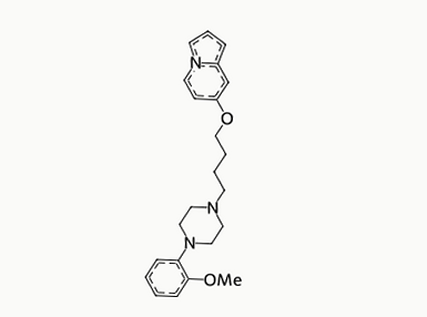 COc1ccccc1N1CCN(CCCCOc2ccn3cccc3c2)CC1